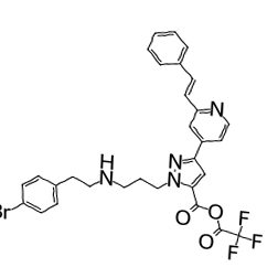 O=C(OC(=O)C(F)(F)F)c1cc(-c2ccnc(C=Cc3ccccc3)c2)nn1CCCNCCc1ccc(Br)cc1